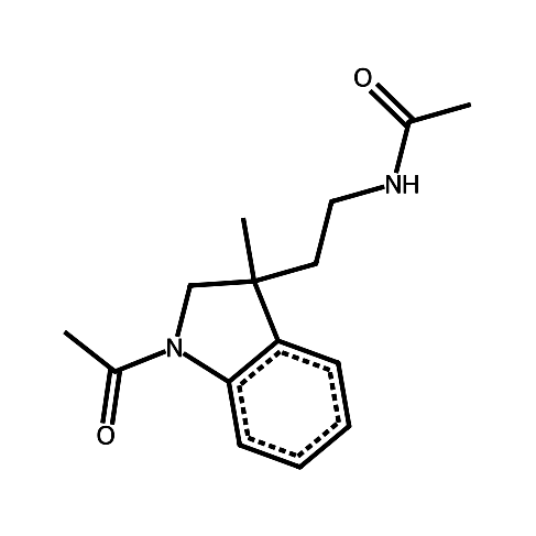 CC(=O)NCCC1(C)CN(C(C)=O)c2ccccc21